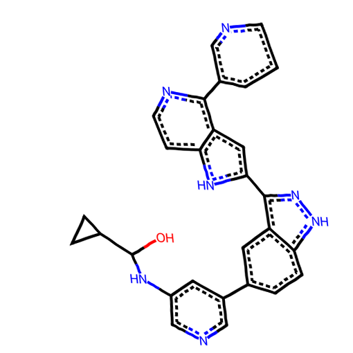 OC(Nc1cncc(-c2ccc3[nH]nc(-c4cc5c(-c6cccnc6)nccc5[nH]4)c3c2)c1)C1CC1